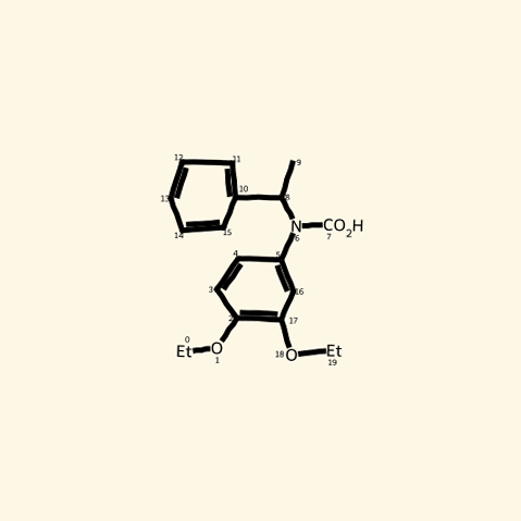 CCOc1ccc(N(C(=O)O)C(C)c2ccccc2)cc1OCC